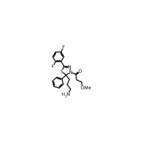 COCCC(=O)N1N=C(c2cc(F)ccc2F)SC1(CCCN)c1ccccc1